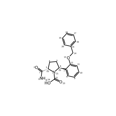 NC(=O)[C@@H]1CC[C@@H](c2ccccc2OCc2ccccc2)N1C(=O)O